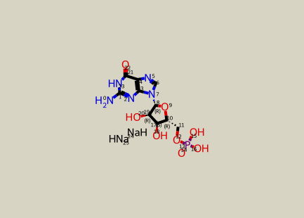 Nc1nc2c(ncn2[C@@H]2O[C@H](COP(=O)(O)O)[C@@H](O)[C@H]2O)c(=O)[nH]1.[NaH].[NaH]